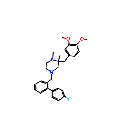 COc1ccc(CC2(C)CN(Cc3ccccc3-c3ccc(F)cc3)CCN2C)cc1OC